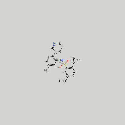 N#Cc1ccc(-c2cccnc2)c(NS(=O)(=O)c2cc(C(=O)O)ccc2C2CC2)c1